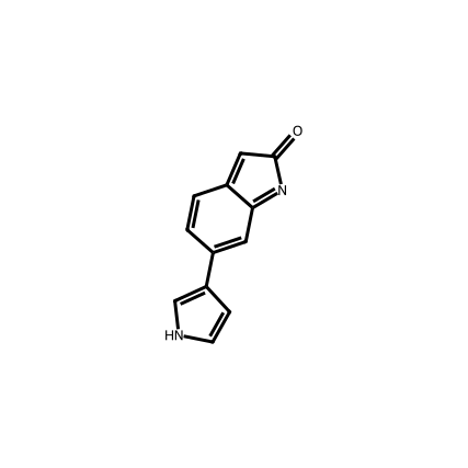 O=C1C=c2ccc(-c3cc[nH]c3)cc2=N1